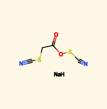 N#CSCC(=O)OSC#N.[NaH]